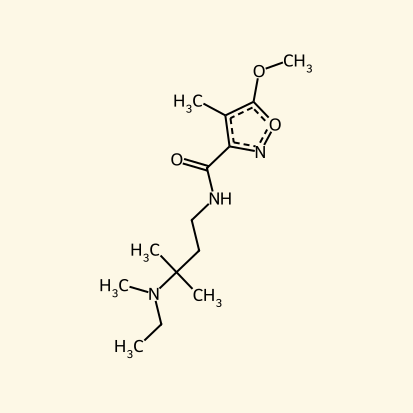 CCN(C)C(C)(C)CCNC(=O)c1noc(OC)c1C